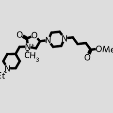 CCN1CCC(C[N+]2(C)CC(N3CCN(CCCC(=O)OC)CC3)OC2=O)CC1